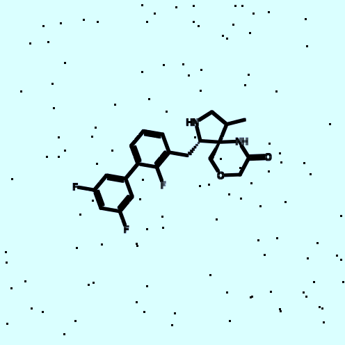 CC1CN[C@@H](Cc2cccc(-c3cc(F)cc(F)c3)c2F)[C@]12COCC(=O)N2